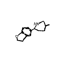 CC1CCC(c2ccc3c(c2)CCO3)NC1